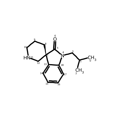 CC(C)CN1C(=O)[C@]2(CCCNC2)c2ccccc21